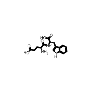 N[C@@H](CCC(=O)O)C(=O)N[C@H](Cc1c[nH]c2ccccc12)C(=O)O